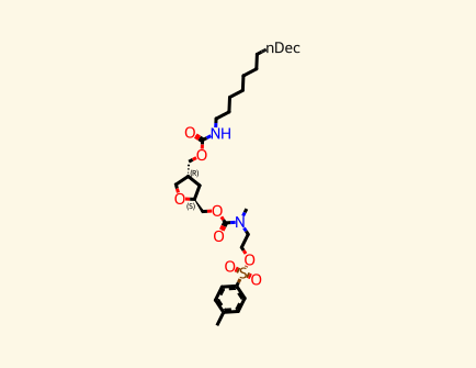 CCCCCCCCCCCCCCCCCNC(=O)OC[C@H]1CO[C@H](COC(=O)N(C)CCOS(=O)(=O)c2ccc(C)cc2)C1